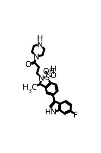 CC1c2cc(-c3c[nH]c4cc(F)ccc34)ccc2S(O)(O)N1CCC(=O)N1CCNCC1